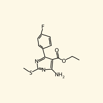 CCOC(=O)c1c(N)nc(SC)nc1-c1ccc(F)cc1